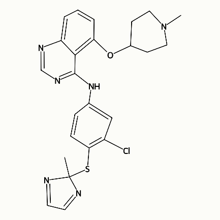 CN1CCC(Oc2cccc3ncnc(Nc4ccc(SC5(C)N=CC=N5)c(Cl)c4)c23)CC1